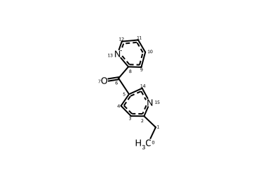 CCc1ccc(C(=O)c2ccccn2)cn1